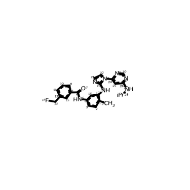 Cc1ccc(NC(=O)c2cccc(CF)c2)cc1Nc1nccn1-c1cc(NC(C)C)ncn1